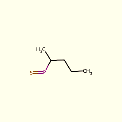 CCCC(C)P=S